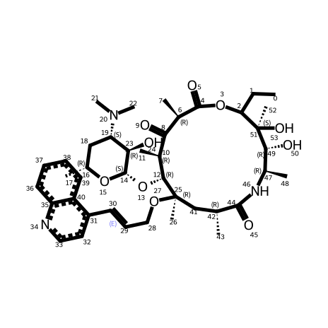 CCC1OC(=O)[C@H](C)C(=O)[C@H](C)[C@@H](O[C@@H]2O[C@H](C)C[C@H](N(C)C)[C@H]2O)[C@](C)(OC/C=C/c2ccnc3ccccc23)C[C@@H](C)C(=O)N[C@H](C)[C@@H](O)[C@]1(C)O